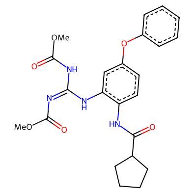 COC(=O)N=C(NC(=O)OC)Nc1cc(Oc2ccccc2)ccc1NC(=O)C1CCCC1